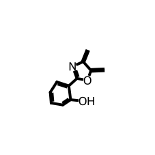 C=c1nc(-c2ccccc2O)oc1=C